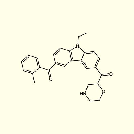 CCn1c2ccc(C(=O)c3ccccc3C)cc2c2cc(C(=O)C3CNCCO3)ccc21